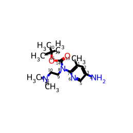 Cc1cc(N)cnc1N(CCN(C)C)C(=O)OC(C)(C)C